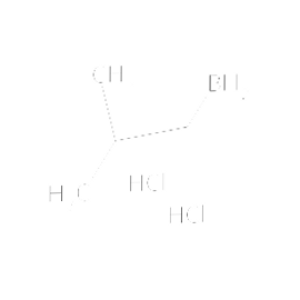 BCC(C)C.Cl.Cl